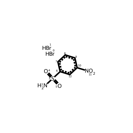 Br.Br.NS(=O)(=O)c1cccc([N+](=O)[O-])c1